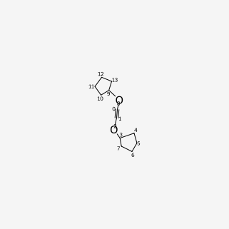 C(#COC1CCCC1)OC1CCCC1